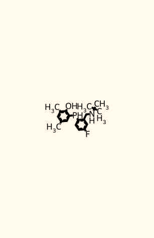 Cc1cc(C)c(O)c(Pc2ccc(F)cc2CNC(C)(C)C)c1